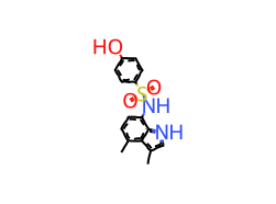 Cc1ccc(NS(=O)(=O)c2ccc(O)cc2)c2[nH]cc(C)c12